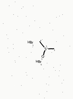 Br.Br.C[S+](C)[O-]